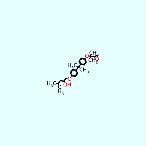 CC(C)CC(O)COc1ccc(C(C)(C)c2ccc(OC(C)(C)C3CO3)cc2)cc1